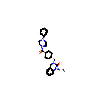 CN1C(=O)N(C[C@H]2CC[C@H](C(=O)N3CCN(c4ccccc4)CC3)CC2)Cc2ccccc21